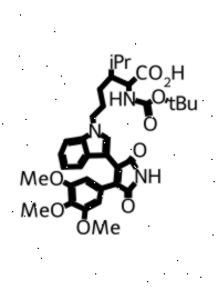 COc1cc(C2=C(c3cn(CCCC(C(C)C)C(NC(=O)OC(C)(C)C)C(=O)O)c4ccccc34)C(=O)NC2=O)cc(OC)c1OC